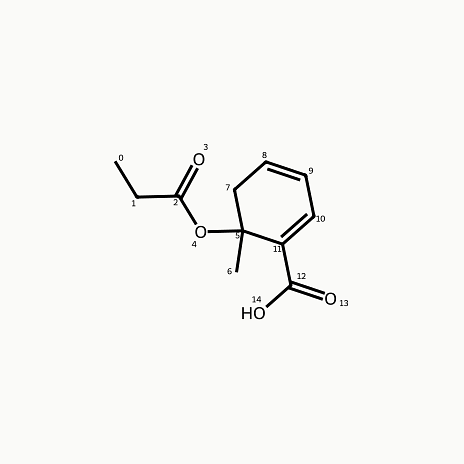 CCC(=O)OC1(C)CC=CC=C1C(=O)O